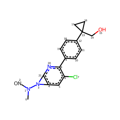 CN(N=O)N1c2cc(Cl)c(-c3ccc(C4(CO)CC4)cc3)nc21